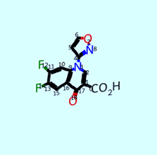 O=C(O)c1cn(-c2ccon2)c2cc(F)c(F)cc2c1=O